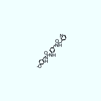 COc1ccc(CNC(=O)Nc2ccc(CNC(=O)Cc3cccnc3)cc2)cc1